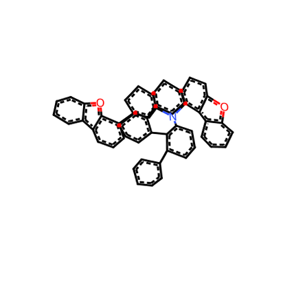 c1ccc(-c2ccccc2-c2c(-c3ccccc3)cccc2N(c2cccc(-c3cccc4c3oc3ccccc34)c2)c2cccc3oc4ccccc4c23)cc1